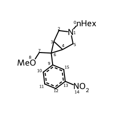 CCCCCCN1CC2C(C1)C2(COC)c1cccc([N+](=O)[O-])c1